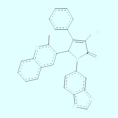 O=C1C(O)=C(c2ccccc2)C(c2cc3ccccc3nc2Cl)N1c1ccc2[nH]cnc2c1